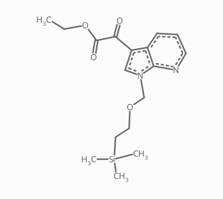 CCOC(=O)C(=O)c1cn(COCC[Si](C)(C)C)c2ncccc12